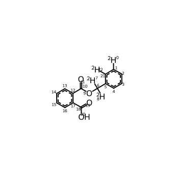 [2H]c1cccc(C([2H])([2H])OC(=O)c2ccccc2C(=O)O)c1[2H]